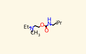 CCN(C)CCOC(=O)NCC(C)C